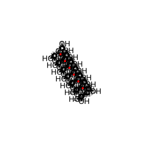 Oc1cc2c3c(c1)O[C@H](c1ccc(O)c(O)c1)[C@H](O)[C@H]3c1c(cc3c4c1O[C@H](c1ccc(O)c(O)c1)C(O)[C@H]4c1c(cc4c5c1O[C@H](c1ccc(O)c(O)c1)C[C@H]5c1c(cc5c6c1O[C@H](c1ccc(O)c(O)c1)C[C@H]6c1c(cc6c7c1O[C@H](c1ccc(O)c(O)c1)C[C@H]7c1c(cc7c8c1O[C@H](c1ccc(O)c(O)c1)C[C@H]8c1c(cc(O)c8c1O[C@H](c1ccc(O)c(O)c1)CC8)B7)B6)B5)B4)B3)B2